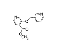 COC(=O)c1ccncc1OCc1cccnc1